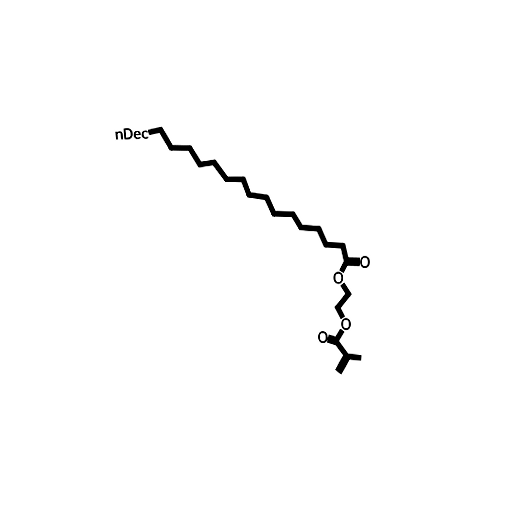 C=C(C)C(=O)OCCOC(=O)CCCCCCCCCCCCCCCCCCCCCCCCC